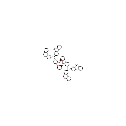 CC1(C)c2ccccc2-c2ccc(N(c3ccc4c(c3)C(C(C)(C)C)(C3(C(C)(C)C)c5ccccc5-c5ccc(N(c6ccc7c(c6)C(C)(C)c6ccccc6-7)c6ccc7ccc8ccccc8c7c6)cc53)c3ccccc3-4)c3ccc4ccc5ccccc5c4c3)cc21